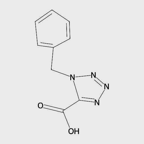 O=C(O)c1nnnn1Cc1ccccc1